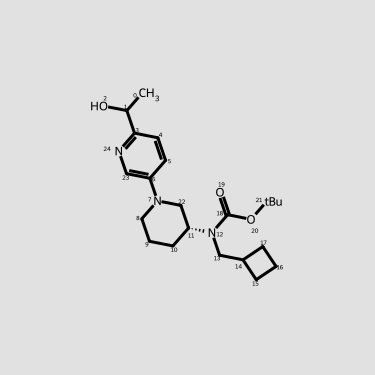 CC(O)c1ccc(N2CCC[C@@H](N(CC3CCC3)C(=O)OC(C)(C)C)C2)cn1